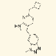 Cn1nnc2ccc(-c3c[nH]c4nc(CC5CCC5)ccc34)cc21